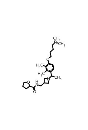 Cc1c(OCCCCN(C)C)ccc(C(C)N2CC(CNC(=O)C3CCCO3)C2)c1C